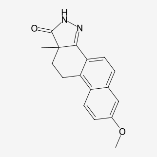 COc1ccc2c3c(ccc2c1)C1=NNC(=O)C1(C)CC3